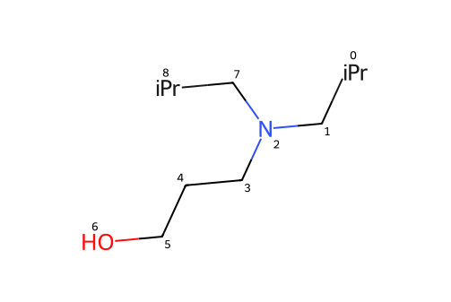 CC(C)CN(CCCO)CC(C)C